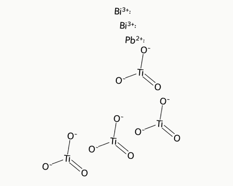 [Bi+3].[Bi+3].[O]=[Ti]([O-])[O-].[O]=[Ti]([O-])[O-].[O]=[Ti]([O-])[O-].[O]=[Ti]([O-])[O-].[Pb+2]